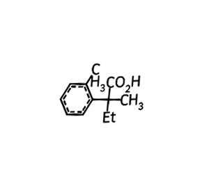 CCC(C)(C(=O)O)c1ccccc1C